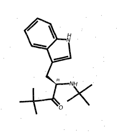 CC(C)(C)N[C@H](Cc1c[nH]c2ccccc12)C(=O)C(C)(C)C